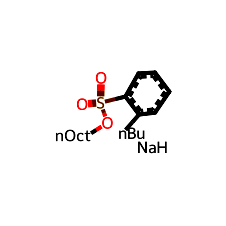 CCCCCCCCOS(=O)(=O)c1ccccc1CCCC.[NaH]